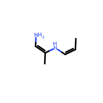 C/C=C\N/C(C)=C\N